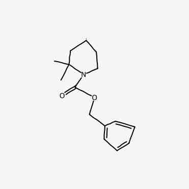 CC1(C)C[CH]CCN1C(=O)OCc1ccccc1